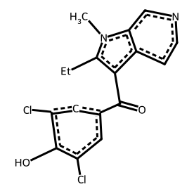 CCc1c(C(=O)c2cc(Cl)c(O)c(Cl)c2)c2ccncc2n1C